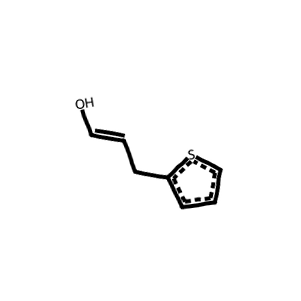 OC=CCc1cccs1